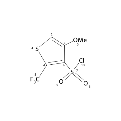 COc1csc(C(F)(F)F)c1S(=O)(=O)Cl